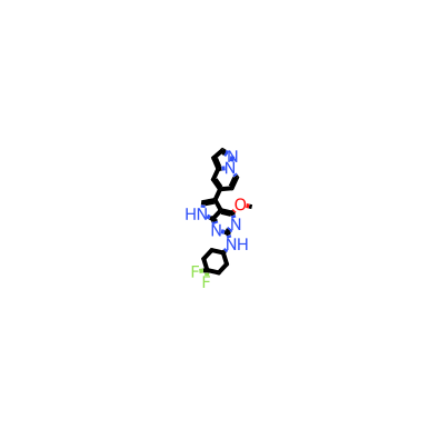 COc1nc(NC2CCC(F)(F)CC2)nc2[nH]cc(-c3ccn4nccc4c3)c12